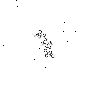 CC1(C)c2c(cc(-c3cccc(C(c4ccccc4)c4cccc5c4oc4ccccc45)c3)c3ccccc23)-c2c1c1ccc(-c3cccc(C(c4ccccc4)c4cccc5c4oc4ccccc45)c3)cc1c1ccccc21